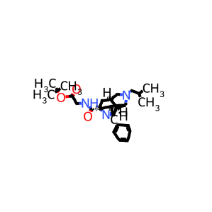 CC(C)CN1C[C@H]2C[C@]3(C(=O)NCC(=O)OC(C)(C)C)N=C[C@H]2C1[C@H]3Cc1ccccc1